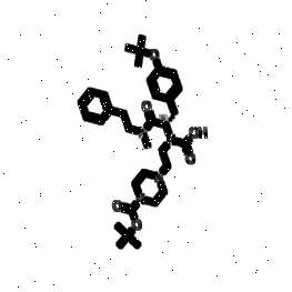 CN(CCc1ccccc1)C(=O)[C@H](Cc1ccc(OC(C)(C)C)cc1)N(CCN1CCN(C(=O)OC(C)(C)C)CC1)C(=O)O